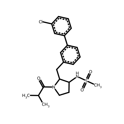 CC(C)C(=O)N1CCC(NS(C)(=O)=O)C1Cc1cccc(-c2cccc(Cl)c2)c1